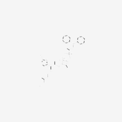 CCSC1(C(=O)OC(c2ccccc2)c2ccccc2)CS[C@@H]2C(NC(=O)C(=NOCC(=O)OC(C)(C)C)c3csc(NC=O)n3)C(=O)N2C1